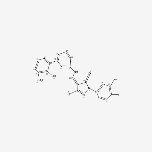 Cc1ccc(N2N=C(Cl)C(=NNc3cccc(-c4cccc(C(=O)O)c4O)c3)C2=O)cc1C